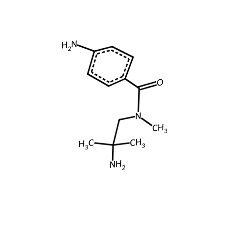 CN(CC(C)(C)N)C(=O)c1ccc(N)cc1